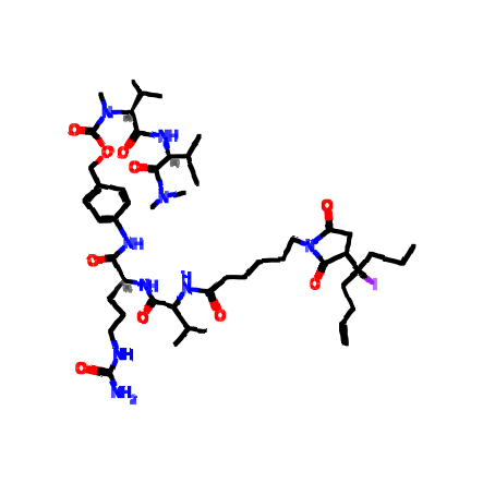 C=CCCC(I)(CCC)C1CC(=O)N(CCCCCC(=O)NC(C(=O)N[C@@H](CCCNC(N)=O)C(=O)Nc2ccc(COC(=O)N(C)[C@H](C(=O)N[C@H](C(=O)N(C)C)C(C)C)C(C)C)cc2)C(C)C)C1=O